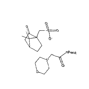 CC1(C)C2CCC1(CS(=O)(=O)[O-])C(=O)C2.CCCCCC(=O)C[S+]1CCOCC1